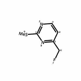 CSc1nccc(CF)n1